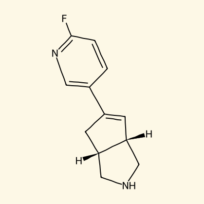 Fc1ccc(C2=C[C@@H]3CNC[C@@H]3C2)cn1